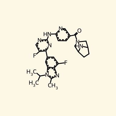 Cc1nc2c(F)cc(-c3nc(Nc4ccc(C(=O)N5CC6CCC(C5)N6)cn4)ncc3F)cc2n1C(C)C